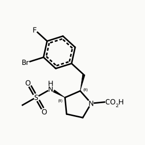 CS(=O)(=O)N[C@@H]1CCN(C(=O)O)[C@@H]1Cc1ccc(F)c(Br)c1